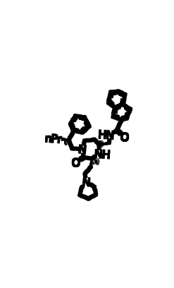 CCC[C@H](CN1CC[C@@H](CNC(=O)c2ccc3ccccc3c2)N[C@@H](CCN2CCCCC2)C1=O)c1ccccc1